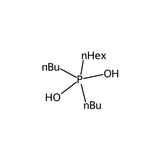 CCCCCCP(O)(O)(CCCC)CCCC